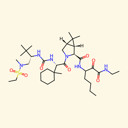 CCCCC(NC(=O)[C@@H]1[C@@H]2[C@H](CN1C(=O)[C@@H](NC(=O)N[C@H](CN(C)S(=O)(=O)CC)C(C)(C)C)C1(C)CCCCC1)C2(C)C)C(=O)C(=O)NCC